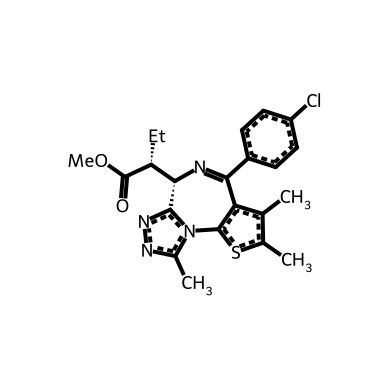 CC[C@@H](C(=O)OC)[C@@H]1N=C(c2ccc(Cl)cc2)c2c(sc(C)c2C)-n2c(C)nnc21